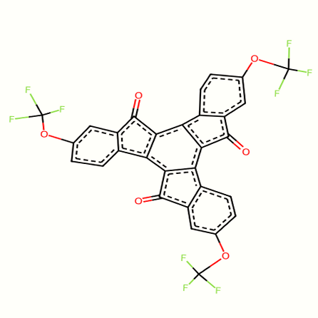 O=c1c2cc(OC(F)(F)F)ccc2c2c1c1c3ccc(OC(F)(F)F)cc3c(=O)c1c1c3ccc(OC(F)(F)F)cc3c(=O)c21